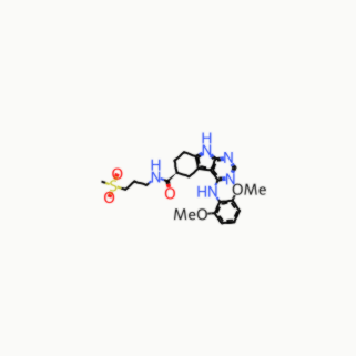 COc1cccc(OC)c1Nc1ncnc2[nH]c3c(c12)C[C@@H](C(=O)NCCCS(C)(=O)=O)CC3